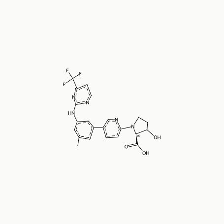 Cc1cc(Nc2nccc(C(F)(F)F)n2)cc(-c2ccc(N3CCC(O)[C@H]3C(=O)O)nc2)c1